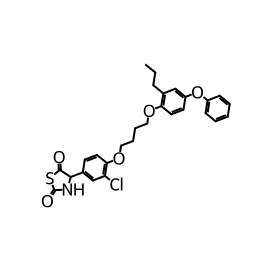 CCCc1cc(Oc2ccccc2)ccc1OCCCCOc1ccc(C2NC(=O)SC2=O)cc1Cl